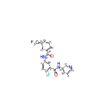 O=C(Nc1ccc(F)c(C(=O)Nc2cccnc2)c1)c1cccc(C(F)(F)F)c1